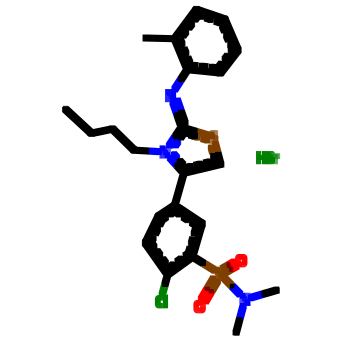 Br.CCCCn1c(-c2ccc(Cl)c(S(=O)(=O)N(C)C)c2)csc1=Nc1ccccc1C